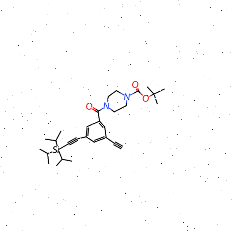 C#Cc1cc(C#C[Si](C(C)C)(C(C)C)C(C)C)cc(C(=O)N2CCN(C(=O)OC(C)(C)C)CC2)c1